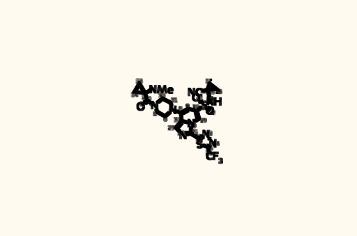 CNC1(C(=O)N2CCN(c3cc(S(=O)(=O)NC4(C#N)CC4)cn4c(-c5nnc(C(F)(F)F)s5)ncc34)CC2)CC1